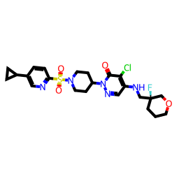 O=c1c(Cl)c(NC[C@@]2(F)CCCOC2)cnn1C1CCN(S(=O)(=O)c2ccc(C3CC3)cn2)CC1